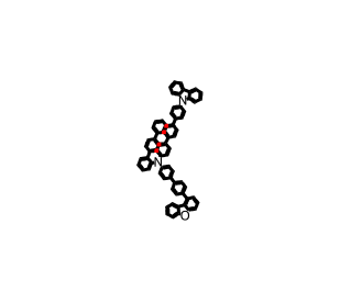 c1ccc(-c2ccc(-c3ccccc3N(c3ccc(-c4ccc(-c5ccc(-n6c7ccccc7c7ccccc76)cc5)cc4)cc3)c3ccc(-c4ccc(-c5cccc6oc7ccccc7c56)cc4)cc3)cc2)cc1